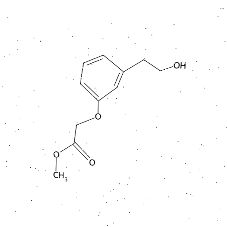 COC(=O)COc1cccc(CCO)c1